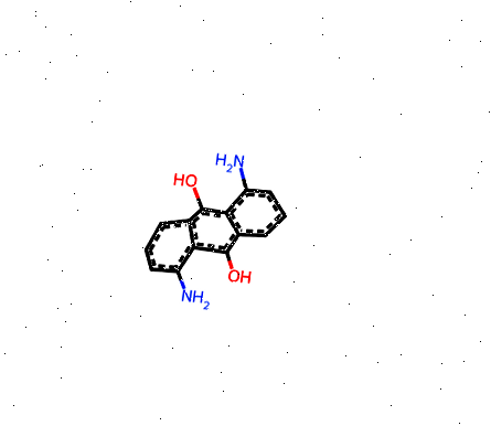 Nc1cccc2c(O)c3c(N)cccc3c(O)c12